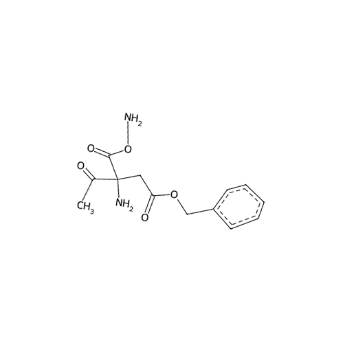 CC(=O)C(N)(CC(=O)OCc1ccccc1)C(=O)ON